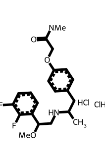 CNC(=O)COc1ccc(CC(C)NCC(OC)c2cccc(F)c2F)cc1.Cl.Cl